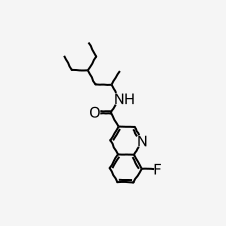 CCC(CC)CC(C)NC(=O)c1cnc2c(F)cccc2c1